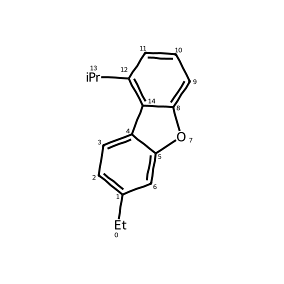 CCc1ccc2c(c1)oc1cccc(C(C)C)c12